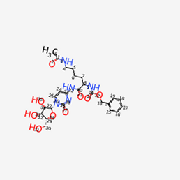 CC(=O)NCCCCC(NC(=O)OCc1ccccc1)C(=O)Nc1ccn([C@@H]2O[C@H](CO)C(O)[C@H]2O)c(=O)n1